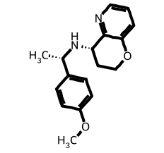 COc1ccc([C@H](C)N[C@H]2CCOc3cccnc32)cc1